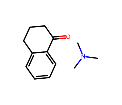 CN(C)C.O=C1CCCc2ccccc21